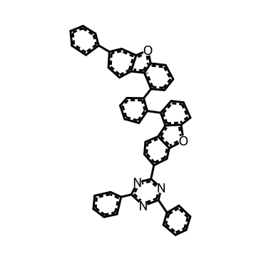 c1ccc(-c2ccc3c(c2)oc2cccc(-c4ccccc4-c4cccc5oc6cc(-c7nc(-c8ccccc8)nc(-c8ccccc8)n7)ccc6c45)c23)cc1